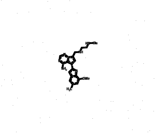 COc1cc(C)cc2cc(-c3cc(CNCCNC(C)(C)C)n4ncnc(N)c34)sc12